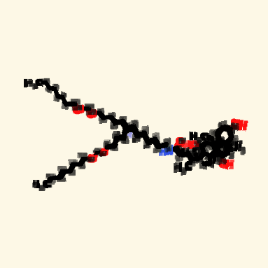 C=C[C@]12C[C@H](O)[C@@]3(C)C(CC[C@@H]3[C@H](C)CCC(=O)NCCCCCC/C=C(/CCCCCOCOCCCCCCCC)CCCCOCOCCCCCCCC)[C@@H]1[C@H](O)C[C@]1(C)C[C@H](O)CC[C@@]12C